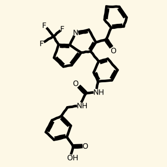 O=C(NCc1cccc(C(=O)O)c1)Nc1cccc(-c2c(C(=O)c3ccccc3)cnc3c(C(F)(F)F)cccc23)c1